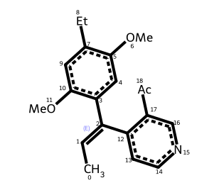 C/C=C(/c1cc(OC)c(CC)cc1OC)c1ccncc1C(C)=O